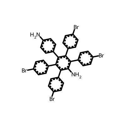 Nc1ccc(-c2c(-c3ccc(Br)cc3)c(-c3ccc(Br)cc3)c(N)c(-c3ccc(Br)cc3)c2-c2ccc(Br)cc2)cc1